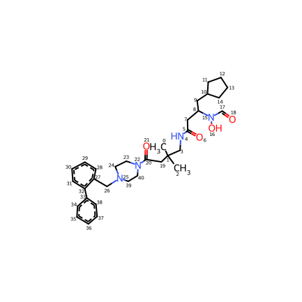 CC(C)(CNC(=O)CC(CC1CCCC1)N(O)C=O)CC(=O)N1CCN(Cc2ccccc2-c2ccccc2)CC1